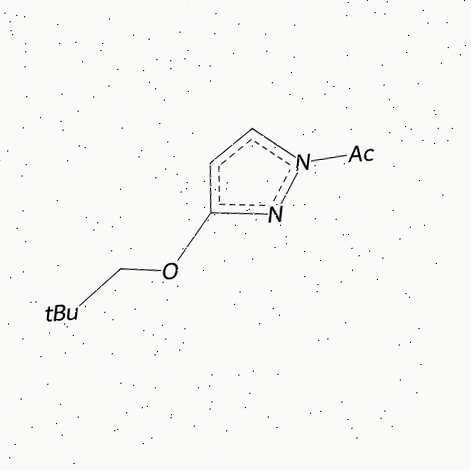 CC(=O)n1ccc(OCC(C)(C)C)n1